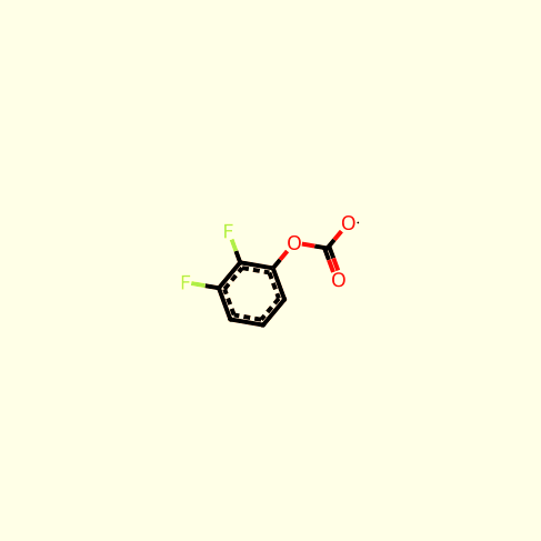 [O]C(=O)Oc1cccc(F)c1F